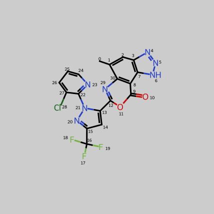 Cc1cc2nn[nH]c2c2c(=O)oc(-c3cc(C(F)(F)F)nn3-c3ncccc3Cl)nc12